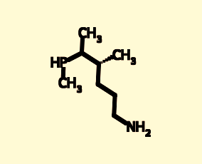 CPC(C)[C@H](C)CCCN